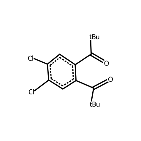 CC(C)(C)C(=O)c1cc(Cl)c(Cl)cc1C(=O)C(C)(C)C